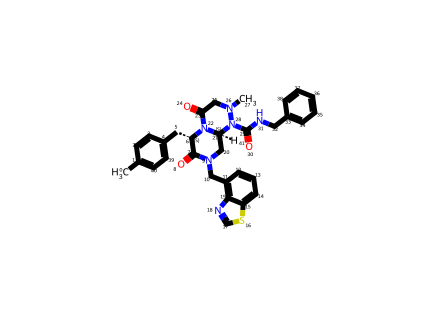 Cc1ccc(C[C@H]2C(=O)N(Cc3cccc4scnc34)C[C@H]3N2C(=O)CN(C)N3C(=O)NCc2ccccc2)cc1